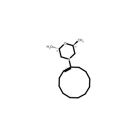 C[C@H]1CN(/C2=C/CCCCCCCCCC2)C[C@H](C)O1